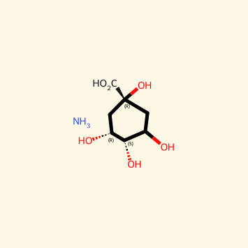 N.O=C(O)[C@@]1(O)CC(O)[C@H](O)[C@H](O)C1